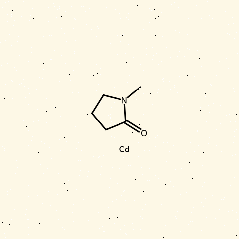 CN1CCCC1=O.[Cd]